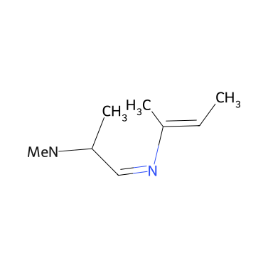 C/C=C(C)/N=C\C(C)NC